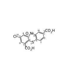 O=C(O)c1ccc(Sc2ccc(Cl)cc2C(=O)O)c([N+](=O)[O-])c1